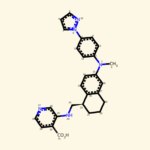 CN(c1ccc(-n2cccn2)cc1)c1ccc2c(c1)CCC[C@H]2CNc1cnccc1C(=O)O